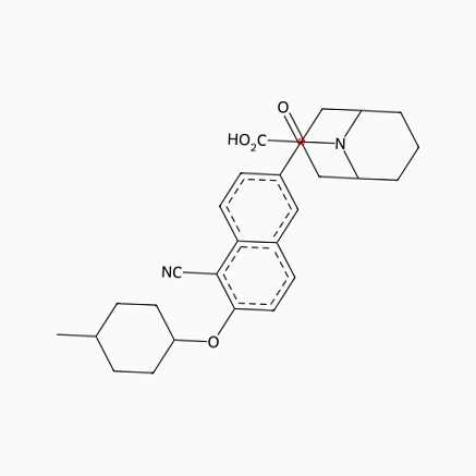 CC1CCC(Oc2ccc3cc(C(=O)N4C5CCCC4CC(C(=O)O)C5)ccc3c2C#N)CC1